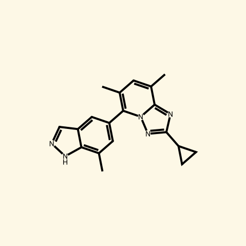 Cc1cc(C)c2nc(C3CC3)nn2c1-c1cc(C)c2[nH]ncc2c1